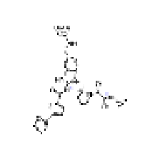 COC[C@H](C)NCc1ccc2c(c1)[nH]/c(=N\C(=O)c1ccc(-c3cnco3)s1)n2C[C@H]1CCCN1C(=O)/C(C#N)=C/C1CC1